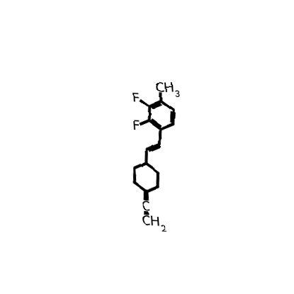 C=C=C1CCC(/C=C/c2ccc(C)c(F)c2F)CC1